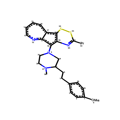 COc1ccc(CCC2CN(c3c4nccccc-4c4c3N=C(C(C)C)SS4)CCN2C)cc1